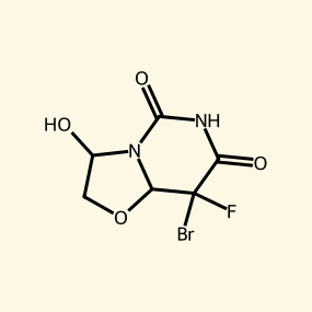 O=C1NC(=O)C(F)(Br)C2OCC(O)N12